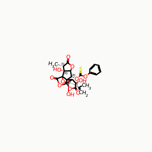 C=C(C)[C@@H]1[C@@H](O)C2OC(=O)C34OC5OC(=O)[C@H](O)C51C23[C@@H](OC(=S)Oc1ccccc1)C1OC(=O)[C@@H](C)[C@@]14O